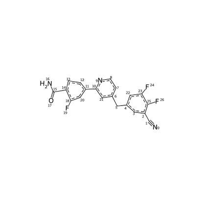 N#Cc1cc(Cc2ccnc(-c3ccc(C(N)=O)c(F)c3)c2)cc(F)c1F